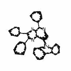 c1ccc(-c2nc3c(-n4c5ccccc5c5ccccc54)cnc(-c4ccccc4)c3nc2-c2ccccc2)cc1